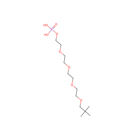 CC(C)(C)COCCOCCOCCOCCOP(=O)(O)O